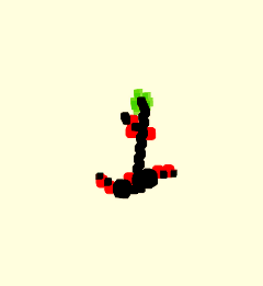 CCOC(=O)C(CCCC(F)(F)C(F)(F)F)C(=O)CCCCCCCCC1Oc2cc(OCOC)ccc2CC1(C)c1ccc(OCOC)cc1